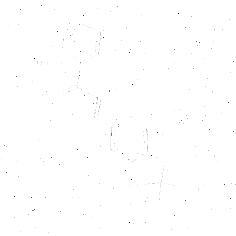 CC(C)(Oc1ccc(/C=C/C(=O)c2ccccc2O)cc1)C(=O)O